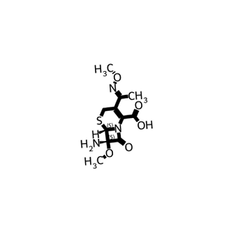 CON=C(C)C1=C(C(=O)O)N2C(=O)[C@](N)(OC)[C@@H]2SC1